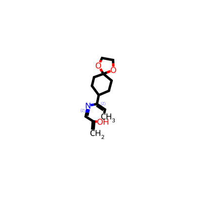 C=C(O)/C=N\C(=C/C)C1CCC2(CC1)OCCO2